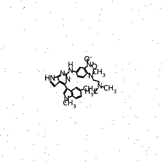 Cc1ccc2c(c1)c(-c1nc(Nc3ccc(N(C)CCN(C)C)c([N+](=O)[O-])c3)nc3[nH]ccc13)cn2C